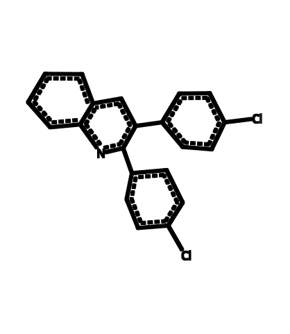 Clc1ccc(-c2cc3ccccc3nc2-c2ccc(Cl)cc2)cc1